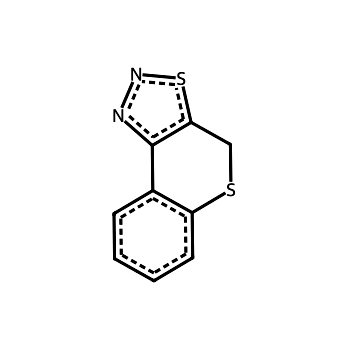 c1ccc2c(c1)SCc1snnc1-2